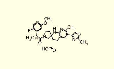 COc1cc([C@@H](C)C(=O)N2CCC3(CCc4cc(-c5coc(C)n5)c(C)nc4N3)C2)c(F)cn1.O=CO